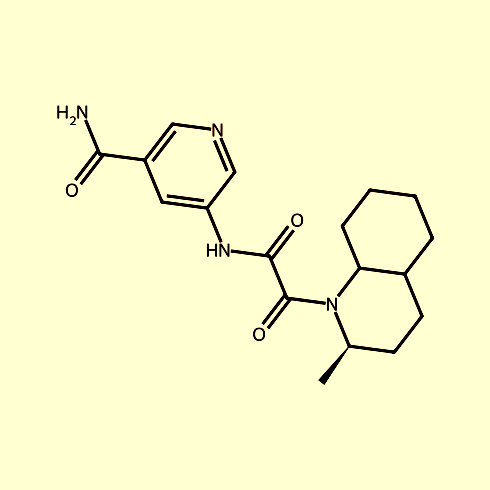 C[C@@H]1CCC2CCCCC2N1C(=O)C(=O)Nc1cncc(C(N)=O)c1